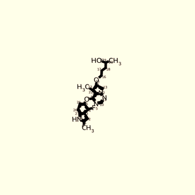 Cc1cc2c(F)c(Oc3ncnn4cc(OCCCC(C)O)c(C)c34)ccc2[nH]1